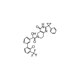 O=C(C(O)c1cccc(-c2cccc(C(F)(F)F)c2Cl)c1)N1CCc2nc(C3(c4ccccc4)CC3)[nH]c(=O)c2C1